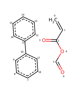 C=CC(=O)OC=O.c1ccc(-c2ccccc2)cc1